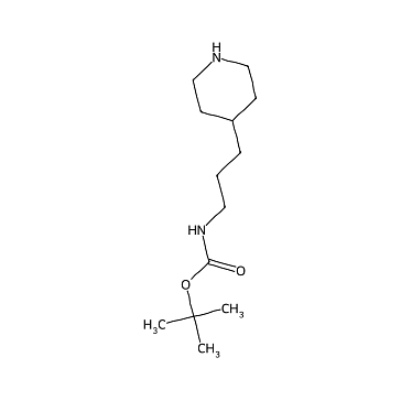 CC(C)(C)OC(=O)NCCCC1CCNCC1